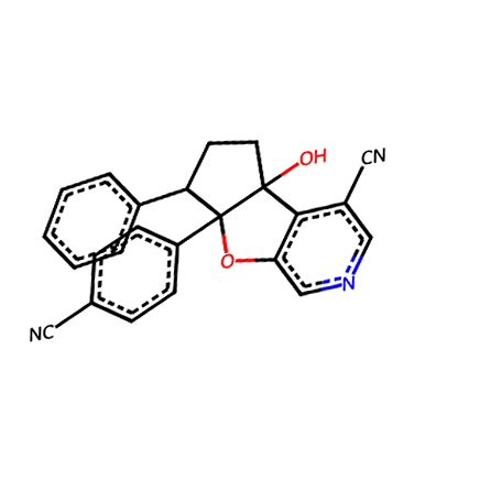 N#Cc1ccc(C23Oc4cncc(C#N)c4C2(O)CCC3c2ccccc2)cc1